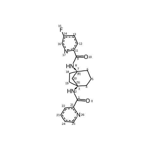 O=C(N[C@@]12CCC[C@@](NC(=O)c3ccc(F)cn3)(CC1)C2)c1ccccn1